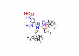 C=CCC(NC(=O)OC(C)(C)C)c1nc(-c2ccc(NC(=O)O)cc2N)cn1COCC[Si](C)(C)C